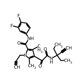 C#CCn1c(C)c(C(=O)C(=O)NC(C#C)(CC)CC)c(C)c1C(=O)Nc1ccc(F)c(F)c1